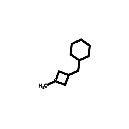 CN1CC(CC2CCCCC2)C1